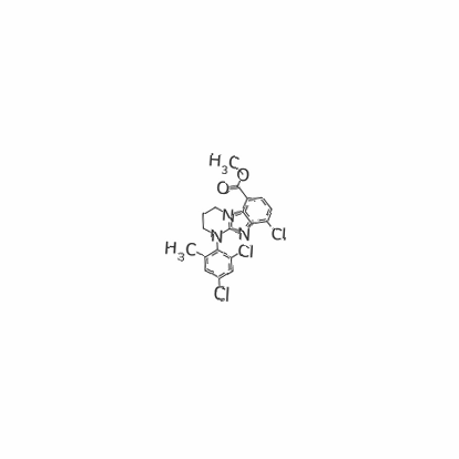 COC(=O)c1ccc(Cl)c2nc3n(c12)CCCN3c1c(C)cc(Cl)cc1Cl